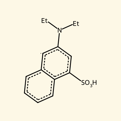 CCN(CC)c1[c]c2ccccc2c(S(=O)(=O)O)c1